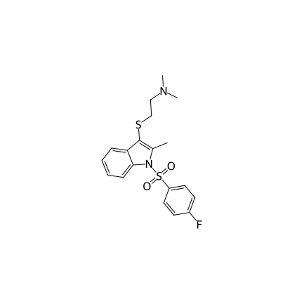 Cc1c(SCCN(C)C)c2ccccc2n1S(=O)(=O)c1ccc(F)cc1